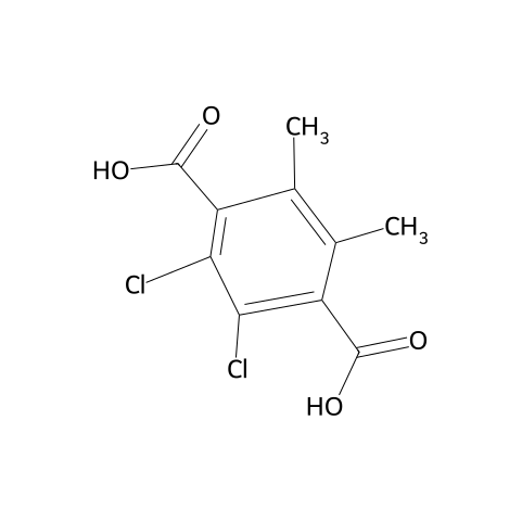 Cc1c(C)c(C(=O)O)c(Cl)c(Cl)c1C(=O)O